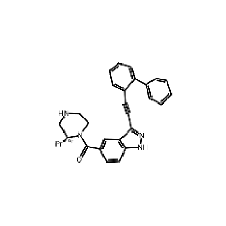 CC(C)[C@H]1CNCCN1C(=O)c1ccc2[nH]nc(C#Cc3ccccc3-c3ccccc3)c2c1